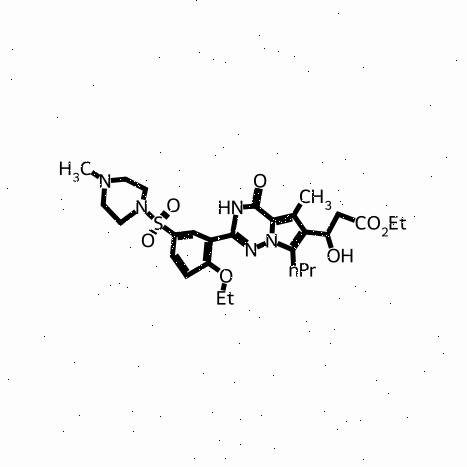 CCCc1c(C(O)CC(=O)OCC)c(C)c2c(=O)[nH]c(-c3cc(S(=O)(=O)N4CCN(C)CC4)ccc3OCC)nn12